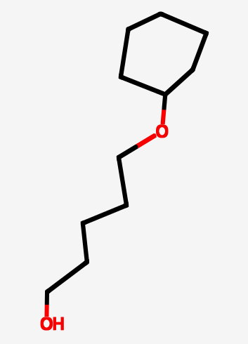 OCCCCCOC1CCCCC1